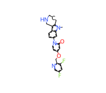 Cn1c2c(c3ccc(-n4ccc(OCc5ncc(F)cc5F)cc4=O)cc31)CNCCC2